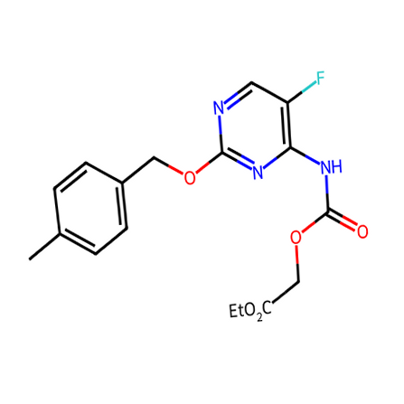 CCOC(=O)COC(=O)Nc1nc(OCc2ccc(C)cc2)ncc1F